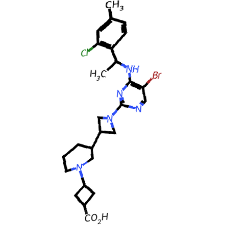 Cc1ccc(C(C)Nc2nc(N3CC(C4CCCN(C5CC(C(=O)O)C5)C4)C3)ncc2Br)c(Cl)c1